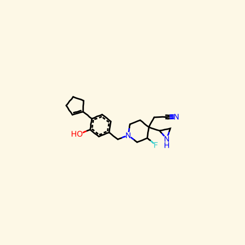 N#CCC1(C2CN2)CCN(Cc2ccc(C3=CCCC3)c(O)c2)CC1F